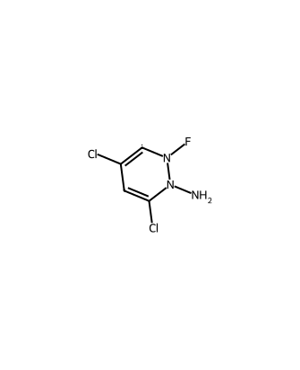 NN1C(Cl)=CC(Cl)=[C]N1F